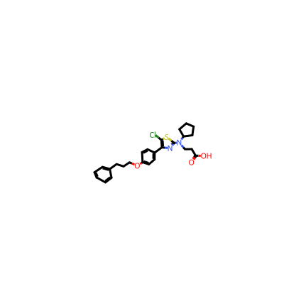 O=C(O)CCN(c1nc(-c2ccc(OCCCc3ccccc3)cc2)c(Cl)s1)C1CCCC1